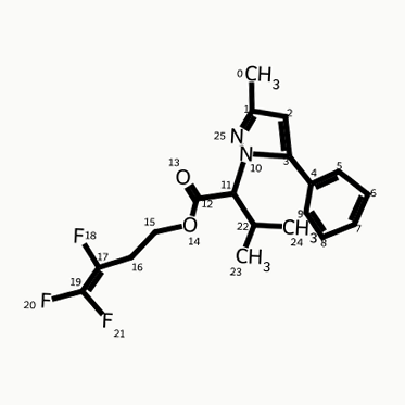 Cc1cc(-c2ccccc2)n(C(C(=O)OCCC(F)=C(F)F)C(C)C)n1